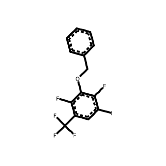 Fc1c(I)cc(C(F)(F)F)c(F)c1OCc1ccccc1